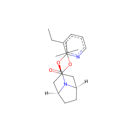 CCc1cccnc1O[C@H]1C[C@H]2CC[C@@H](C1)N2C(=O)OC(C)(C)C